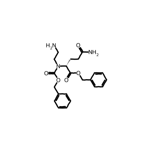 NCCN(C(=O)OCc1ccccc1)[C@H](CCC(N)=O)C(=O)OCc1ccccc1